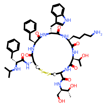 CC(C)N[C@H](Cc1ccccc1)C(=O)N[C@H]1CSSCC(C(=O)N[C@H](CO)[C@@H](C)O)NC(=O)[C@H](C(C)O)NC(=O)[C@H](CCCCN)NC(=O)[C@@H](Cc2c[nH]c3ccccc23)NC(=O)[C@H](Cc2ccccc2)NC1=O